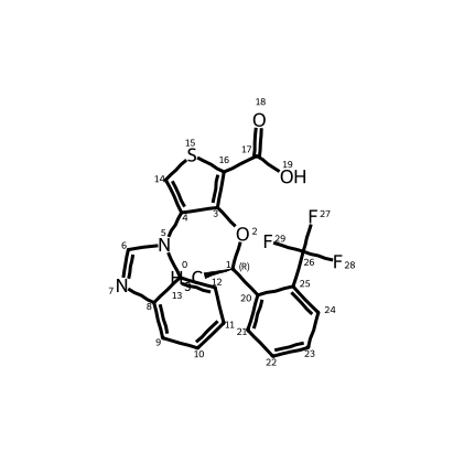 C[C@@H](Oc1c(-n2cnc3ccccc32)csc1C(=O)O)c1ccccc1C(F)(F)F